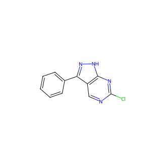 Clc1ncc2c(-c3ccccc3)n[nH]c2n1